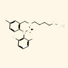 CNCCCCN1Cc2cc(Cl)ccc2N(c2c(F)cccc2F)S1(=O)=O